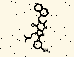 CC(C)=CCn1c(N2CCCC(N)C2)nc2nc(C)n(Cc3cccc4ccccc34)c(=O)c21